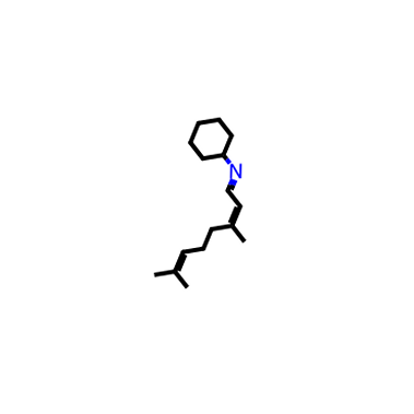 CC(C)=CCCC(C)=CC=NC1CCCCC1